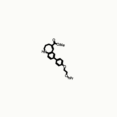 CCCOCCOc1ccc(-c2ccc3c(c2)/C=C(/C(=O)OC)CCCN3)cc1